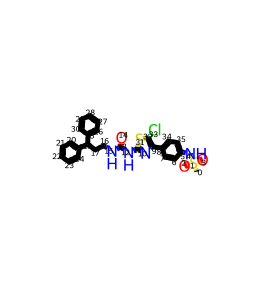 CS(=O)(=O)Nc1ccc(-c2nc(NC(=O)NCCC(c3ccccc3)c3ccccc3)sc2Cl)cc1